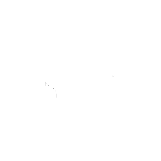 O=C(CBr)c1ccc2[nH]ncc2c1